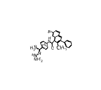 Cc1c(-c2ccccc2)cc2ccc(Br)cc2c1C(=O)NC12CCC(/C(N)=N/NN)(CC1)CC2